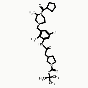 Cc1c(CN2CCN(C(=O)C3CCCC3)C(C)C2)cc(Cl)cc1NC(=O)CC1CCN(C(=O)OC(C)(C)C)C1